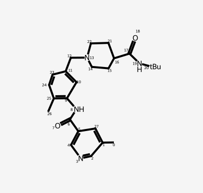 Cc1cncc(C(=O)Nc2cc(CN3CCC(C(=O)NC(C)(C)C)CC3)ccc2C)c1